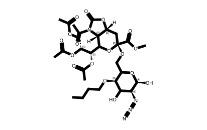 CCCCO[C@H]1C(CO[C@]2(C(=O)OC)C[C@H]3OC(=O)N(C(C)=O)[C@H]3C([C@H](OC(C)=O)[C@@H](COC(C)=O)OC(C)=O)O2)O[C@@H](O)[C@@H](N=[N+]=[N-])C1O